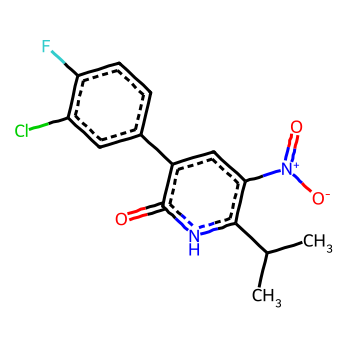 CC(C)c1[nH]c(=O)c(-c2ccc(F)c(Cl)c2)cc1[N+](=O)[O-]